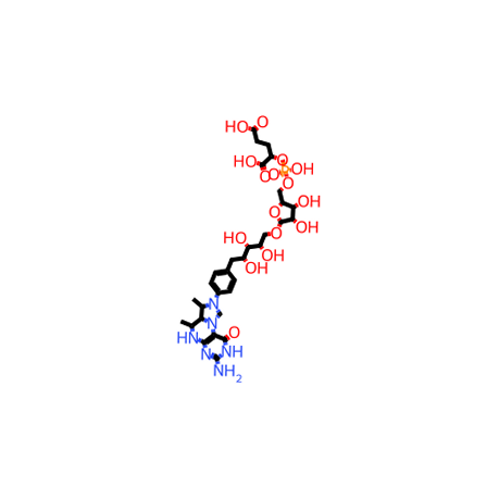 CC1Nc2nc(N)[nH]c(=O)c2N2CN(c3ccc(CC(O)C(O)C(O)COC4OC(COP(=O)(O)OC(CCC(=O)O)C(=O)O)C(O)C4O)cc3)C(C)C12